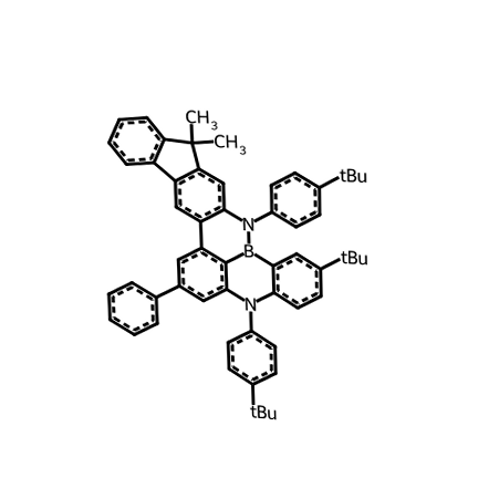 CC(C)(C)c1ccc(N2B3c4cc(C(C)(C)C)ccc4N(c4ccc(C(C)(C)C)cc4)c4cc(-c5ccccc5)cc(c43)-c3cc4c(cc32)C(C)(C)c2ccccc2-4)cc1